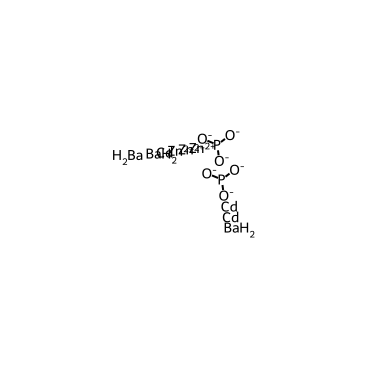 [BaH2].[BaH2].[BaH2].[Cd].[Cd].[Cd].[O-]P([O-])[O-].[O-]P([O-])[O-].[Zn+2].[Zn+2].[Zn+2]